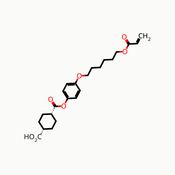 C=CC(=O)OCCCCCCOc1ccc(OC(=O)[C@H]2CC[C@@H](C(=O)O)CC2)cc1